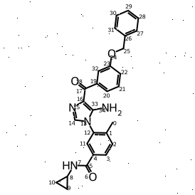 Cc1ccc(C(=O)NC2CC2)cc1-n1cnc(C(=O)c2cccc(OCc3ccccc3)c2)c1N